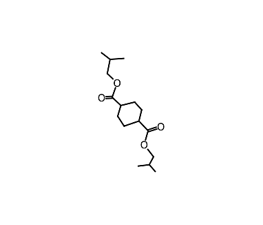 CC(C)COC(=O)C1CCC(C(=O)OCC(C)C)CC1